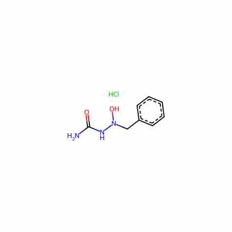 Cl.NC(=O)NN(O)Cc1ccccc1